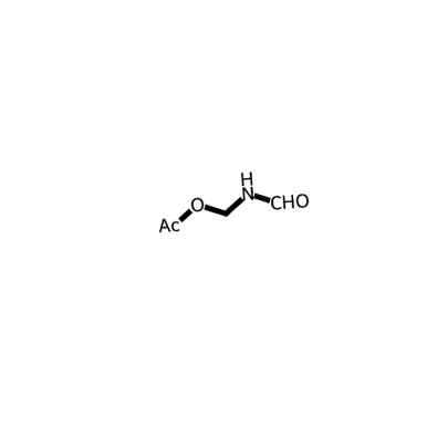 CC(=O)OCNC=O